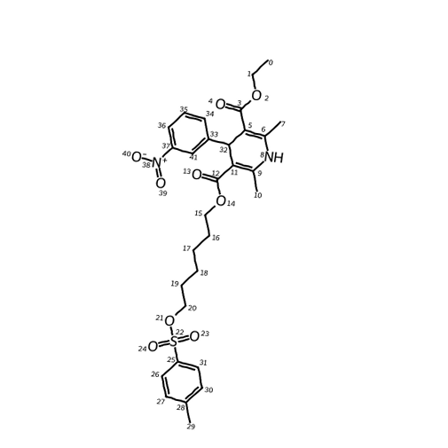 CCOC(=O)C1=C(C)NC(C)=C(C(=O)OCCCCCCOS(=O)(=O)c2ccc(C)cc2)C1c1cccc([N+](=O)[O-])c1